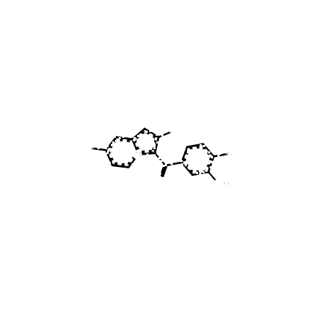 COc1cc(C(=O)c2c(C)[c]c3cc(NC(C)=O)ccn23)ccc1N